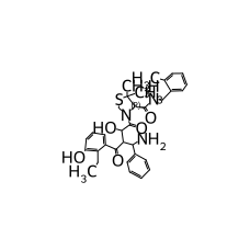 CCc1c(O)cccc1C(=O)C(C(O)C(=O)N1CSC(C)(C)[C@H]1C(=O)NCc1ccccc1C)C(N)c1ccccc1